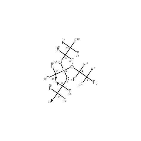 FC(F)(F)C(F)(F)O[Si](OC(F)(F)C(F)(F)F)(OC(F)(F)C(F)(F)F)C(F)(F)F